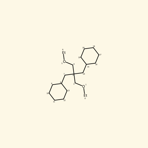 CCOCC(COCC)(CC1CCCCC1)CC1CCCCC1